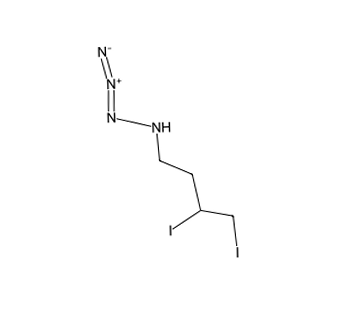 [N-]=[N+]=NNCCC(I)CI